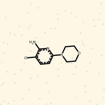 Nc1nc(N2CCOCC2)ccc1Cl